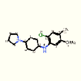 COc1cc(NC2CCC(N3CCCC3)CC2)c(Cl)cc1C#N